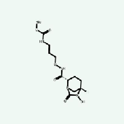 CC(C)(C)OC(=O)NCCCONC(=O)[C@@H]1CC[C@H]2CN1C(=O)N2O